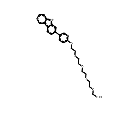 O=CCOCCOCCOCCOCCOc1ccc(-c2ccc3c(c2)[nH]c2ccncc23)cn1